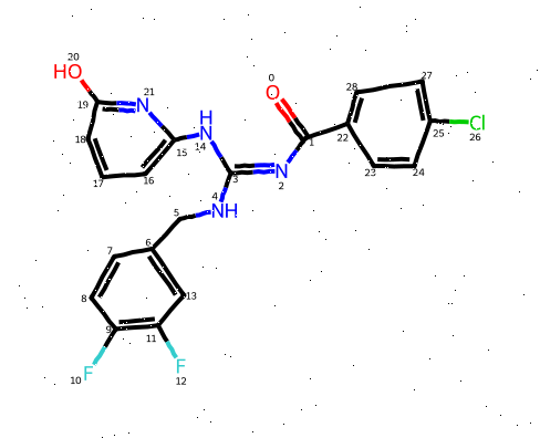 O=C(/N=C(/NCc1ccc(F)c(F)c1)Nc1cccc(O)n1)c1ccc(Cl)cc1